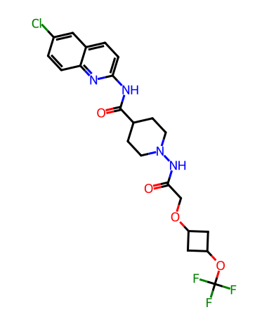 O=C(COC1CC(OC(F)(F)F)C1)NN1CCC(C(=O)Nc2ccc3cc(Cl)ccc3n2)CC1